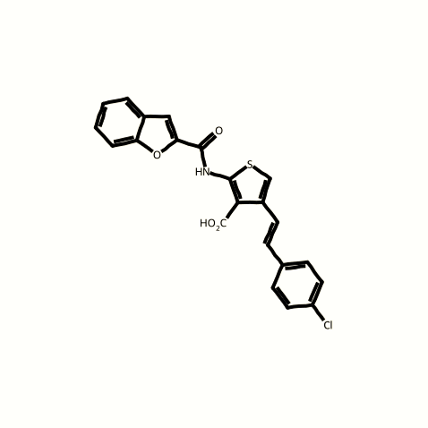 O=C(Nc1scc(C=Cc2ccc(Cl)cc2)c1C(=O)O)c1cc2ccccc2o1